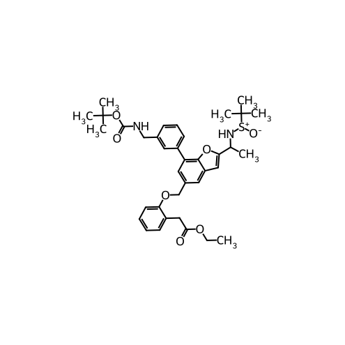 CCOC(=O)Cc1ccccc1OCc1cc(-c2cccc(CNC(=O)OC(C)(C)C)c2)c2oc(C(C)N[S+]([O-])C(C)(C)C)cc2c1